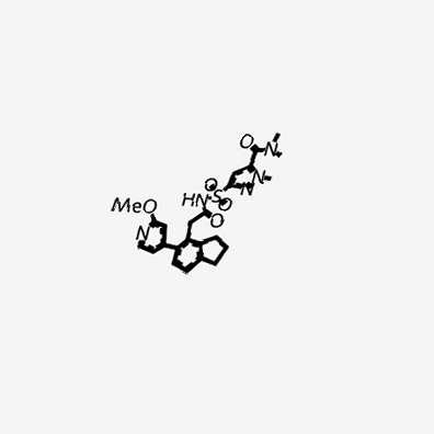 COc1cc(-c2ccc3c(c2CC(=O)NS(=O)(=O)c2cc(C(=O)N(C)C)n(C)n2)CCC3)ccn1